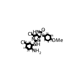 COC1CCC(n2c(=O)[nH]c3c(Cl)nc(Nc4cc(Cl)ccc4N)nc32)CC1